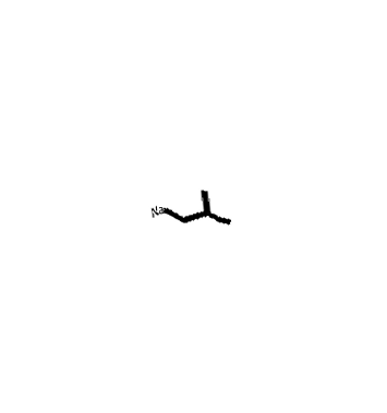 CC(C)[CH2][Na]